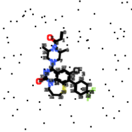 C=CC(=O)N1C(C)CN(c2nc(=O)n3c4c(c(C5=CCC(F)(F)CC5)c(C(F)(F)F)cc24)SCCC3)CC1C